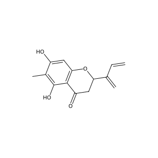 C=CC(=C)C1CC(=O)c2c(cc(O)c(C)c2O)O1